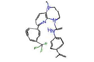 C=C(C)c1ccc(NC(=C)N2CCCN(C)c3ccc(-c4cccc(C(F)(F)F)c4)nc32)cc1